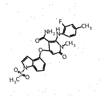 Cc1ccc(Nc2c(C(N)=O)c(Oc3cccc4c3ccn4S(C)(=O)=O)cc(=O)n2C)c(F)c1